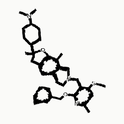 CSc1cc(C)nc(OCc2ccccc2)c1CN1C=c2c(C)c3c(cc2=CC1)CC(C)(C1CCC(N(C)C)CC1)O3